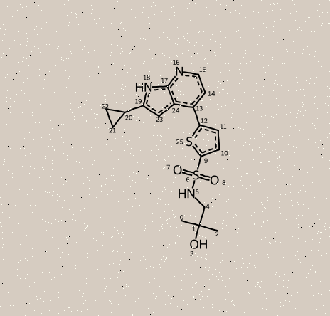 CC(C)(O)CNS(=O)(=O)c1ccc(-c2ccnc3[nH]c(C4CC4)cc23)s1